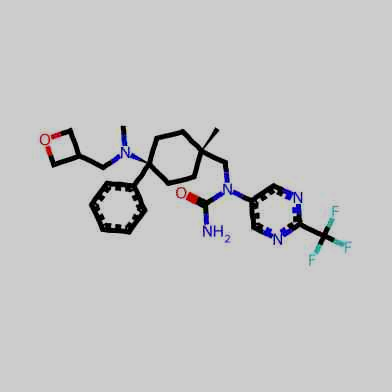 CN(CC1COC1)[C@]1(c2ccccc2)CC[C@@](C)(CN(C(N)=O)c2cnc(C(F)(F)F)nc2)CC1